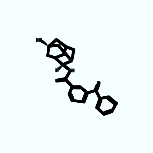 O=C(N[C@H]1C2CC3CC1C[C@](O)(C3)C2)c1cccc(C(=O)c2ccccc2)c1